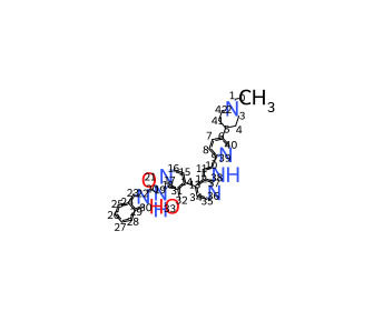 CCN1CCC(c2ccc(-c3cc4c(-c5ccnc(NC(=O)n6cc7ccccc7c6)c5CO)ccnc4[nH]3)nc2)CC1